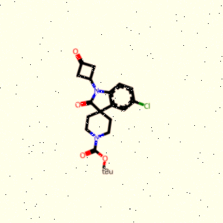 CC(C)(C)OC(=O)N1CCC2(CC1)C(=O)N(C1CC(=O)C1)c1ccc(Cl)cc12